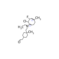 CCN(CCC1(C)CCC(CC=O)CC1)/C1=C/CC/C(C)=C\C(F)C1Cl